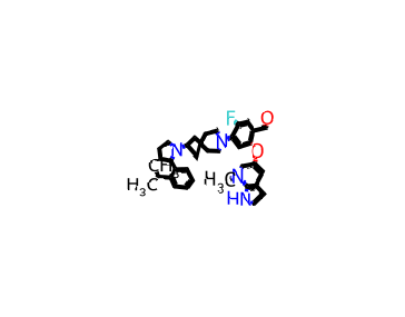 CC(C)c1ccccc1C1CCCN1C1CC2(CCN(c3cc(OC4=Cc5cc[nH]c5N(C)C4)c(C=O)cc3F)CC2)C1